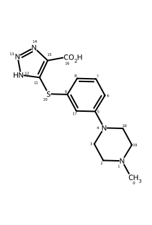 CN1CCN(c2cccc(Sc3[nH]nnc3C(=O)O)c2)CC1